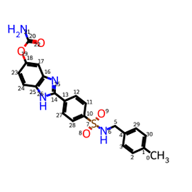 Cc1ccc(CNS(=O)(=O)c2ccc(-c3nc4cc(OC(N)=O)ccc4[nH]3)cc2)cc1